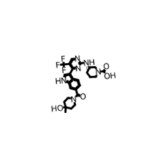 CC1(O)CCN(C(=O)c2ccc3c(-c4nc(N[C@H]5CCCN(C(=O)O)C5)ncc4C(F)(F)F)c[nH]c3c2)CC1